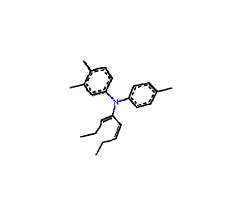 CC/C=C\C(=C/CC)N(c1ccc(C)cc1)c1ccc(C)c(C)c1